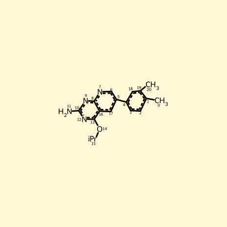 Cc1ccc(-c2cnc3nc(N)nc(OC(C)C)c3c2)cc1C